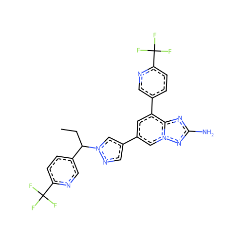 CCC(c1ccc(C(F)(F)F)nc1)n1cc(-c2cc(-c3ccc(C(F)(F)F)nc3)c3nc(N)nn3c2)cn1